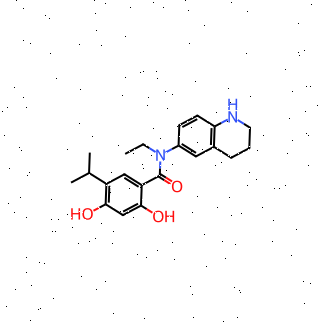 CCN(C(=O)c1cc(C(C)C)c(O)cc1O)c1ccc2c(c1)CCCN2